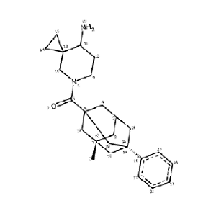 C[C@]12CC3CC(C(=O)N4CCC(N)C5(CC5)C4)(C1)C[C@@](c1ccccc1)(C3)C2